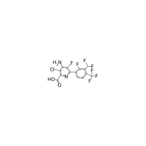 Nc1c(F)c(-c2ccc(C(F)(F)F)c(C(F)F)c2F)nc(C(=O)O)c1Cl